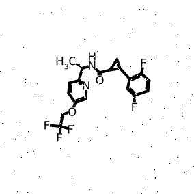 C[C@@H](NC(=O)C1CC1c1cc(F)ccc1F)c1ccc(OCC(F)(F)F)cn1